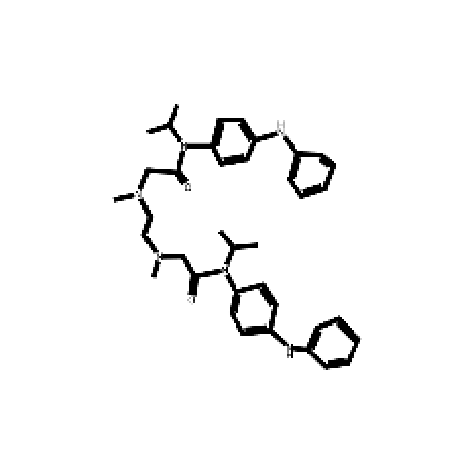 CC(C)N(C(=O)CN(C)CCN(C)CC(=O)N(c1ccc(Nc2ccccc2)cc1)C(C)C)c1ccc(Nc2ccccc2)cc1